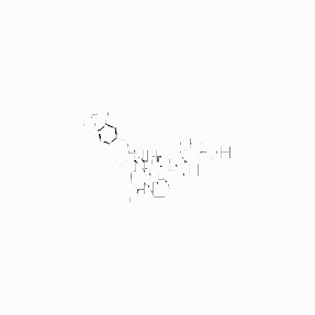 O=C[C@H](CC(=O)O)NC(=O)[C@@H]1CCCN2C(=O)CCN(NC(=O)Cc3ccc4c(c3)OCO4)C(=O)N12